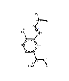 COC(O)c1ccc(Br)c(/N=C/N(C)C)n1